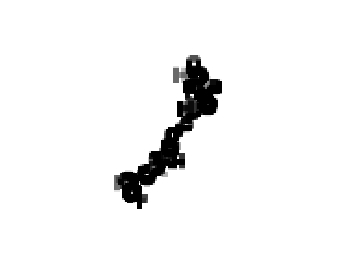 C[C@@H](C(=O)Nc1ccc(OCCOCCNc2cccc3c2C(=O)N(C2CCC(=O)NC2=O)C3=O)cc1)[C@H]1CC[C@@H](c2ccnc3ccc(F)cc32)CC1